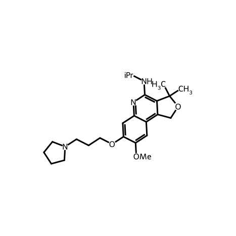 COc1cc2c3c(c(NC(C)C)nc2cc1OCCCN1CCCC1)C(C)(C)OC3